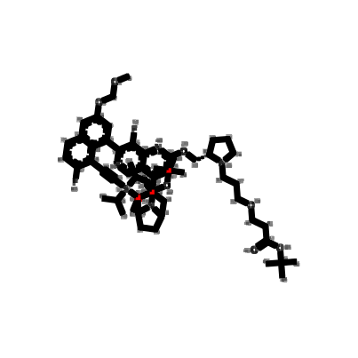 COCOc1cc(-c2ncc3c(N4CC5CCC(C4)N5C(=O)OC(C)(C)C)nc(OC[C@@H]4CCCN4CCCOCCC(=O)OC(C)(C)C)nc3c2F)c2c(C#C[Si](C(C)C)(C(C)C)C(C)C)c(F)ccc2c1